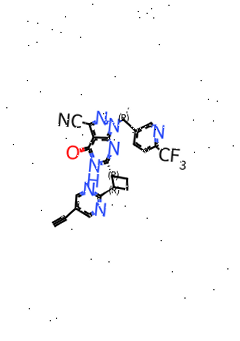 C#Cc1cnc([C@@H]2CC[C@H]2c2nc3c(c(C#N)nn3[C@H](C)c3ccc(C(F)(F)F)nc3)c(=O)[nH]2)nc1